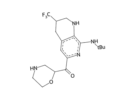 CC(C)(C)Nc1nc(C(=O)C2CNCCO2)cc2c1NCC(C(F)(F)F)C2